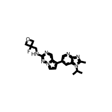 Cc1nc2ncc(-c3ccn4nc(NCC5(F)COC5)ncc34)cc2n1C(C)C